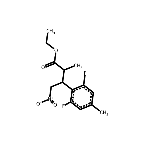 CCOC(=O)C(C)C(C[N+](=O)[O-])c1c(F)cc(C)cc1F